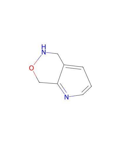 c1cnc2c(c1)CNOC2